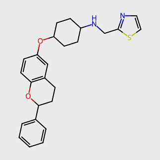 c1ccc(C2CCc3cc(OC4CCC(NCc5nccs5)CC4)ccc3O2)cc1